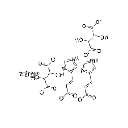 O=C([O-])C(O)C(O)C(=O)[O-].O=C([O-])C(O)C(O)C(=O)[O-].O=C([O-])C=Cc1c[nH]cn1.O=C([O-])C=Cc1c[nH]cn1.[Zn+2].[Zn+2].[Zn+2]